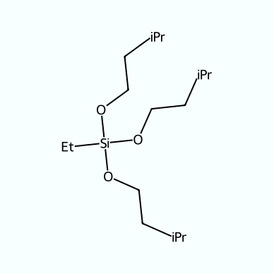 CC[Si](OCCC(C)C)(OCCC(C)C)OCCC(C)C